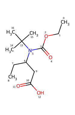 CCOC(=O)N(C(CC)CC(=O)O)C(C)(C)C